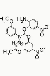 COc1cccc(N(C(=O)CC(C)=O)C(Oc2cc([N+](=O)[O-])ccc2N)Oc2cc([N+](=O)[O-])ccc2N)c1